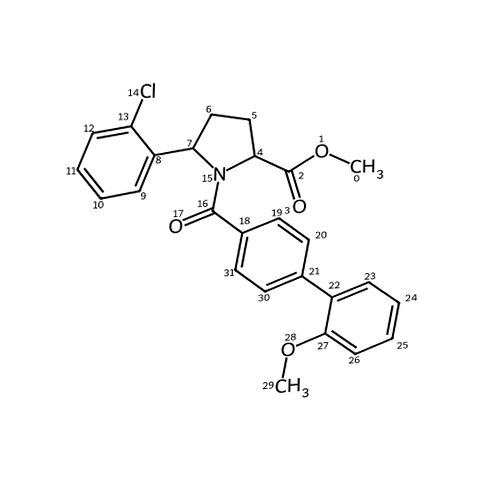 COC(=O)C1CCC(c2ccccc2Cl)N1C(=O)c1ccc(-c2ccccc2OC)cc1